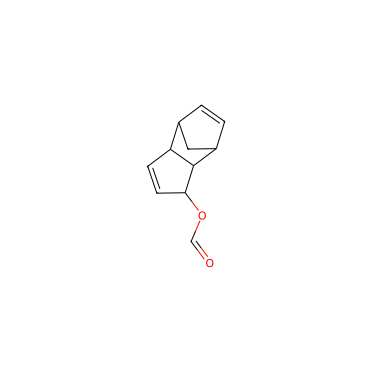 O=COC1C=CC2C3C=CC(C3)C12